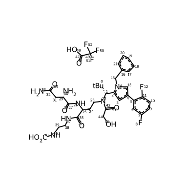 CC(C)(C)[C@H](c1cc(-c2cc(F)ccc2F)cn1Cc1ccccc1)N(CC[C@H](NC(=O)[C@@H](N)CC(N)=O)C(=O)NCCNC(=O)O)C(=O)CO.O=C(O)C(F)(F)F